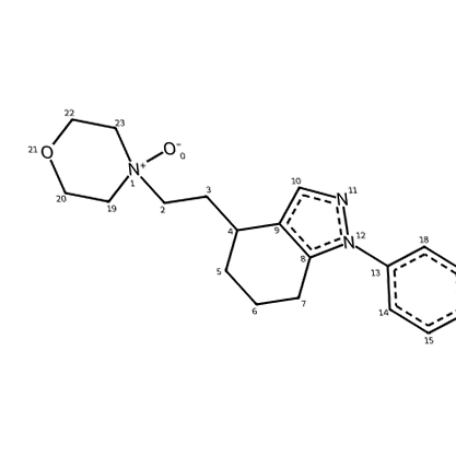 [O-][N+]1(CCC2CCCc3c2cnn3-c2ccccc2)CCOCC1